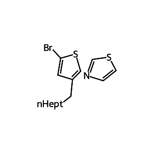 CCCCCCCCc1csc(Br)c1.c1cscn1